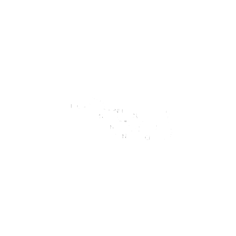 Cc1nc(Nc2ccc(C(F)(F)F)cn2)c2nc(Cc3c(Cl)cccc3Cl)sc2n1